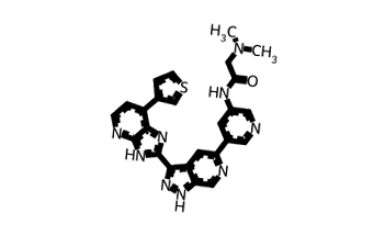 CN(C)CC(=O)Nc1cncc(-c2cc3c(-c4nc5c(-c6ccsc6)ccnc5[nH]4)n[nH]c3cn2)c1